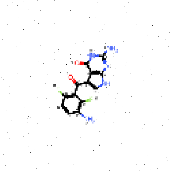 Nc1nc2[nH]cc(C(=O)c3c(F)ccc(N)c3F)c2c(=O)[nH]1